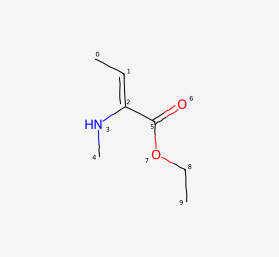 C/C=C(\NC)C(=O)OCC